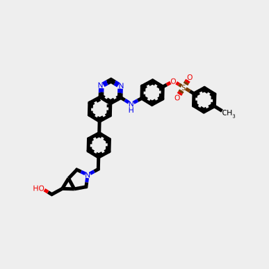 Cc1ccc(S(=O)(=O)Oc2ccc(Nc3ncnc4ccc(-c5ccc(CN6CC7C(CO)C7C6)cc5)cc34)cc2)cc1